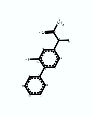 CC(C(N)=O)c1ccc(-c2ccccc2)c(F)c1